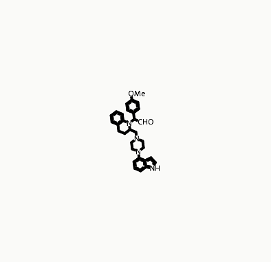 COc1ccc(C(C=O)N2c3ccccc3CCC2CN2CCN(c3cccc4[nH]ccc34)CC2)cc1